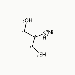 OCC(S)CS.[Ni]